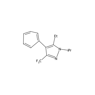 CCc1c(-c2ccccc2)c(C(F)(F)F)nn1C(C)C